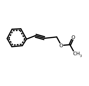 CC(=O)OCC#Cc1ccccc1